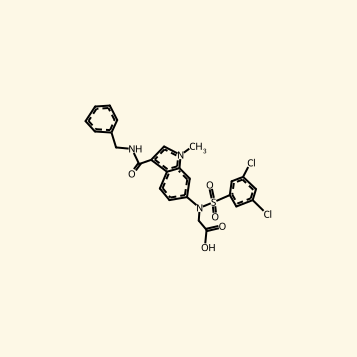 Cn1cc(C(=O)NCc2ccccc2)c2ccc(N(CC(=O)O)S(=O)(=O)c3cc(Cl)cc(Cl)c3)cc21